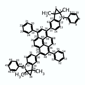 CC12CC1(C)N(c1ccccc1)c1ccc(-c3cc(-c4ccccc4)c4ccc5c(-c6ccc7c(c6)C6(C)CC6(C)N7c6ccccc6)cc(-c6ccccc6)c6ccc3c4c65)cc12